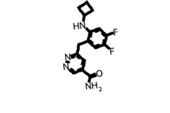 NC(=O)c1cnnc(Cc2cc(F)c(F)cc2NC2CCC2)c1